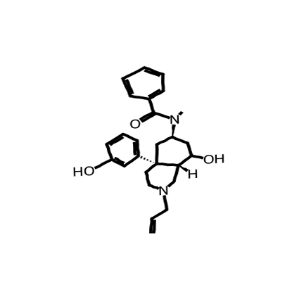 C=CCN1CC[C@@]2(c3cccc(O)c3)C[C@@H](N(C)C(=O)c3ccccc3)CC(O)[C@@H]2C1